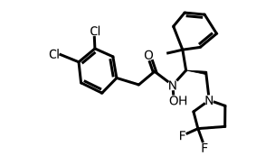 CC1([C@@H](CN2CCC(F)(F)C2)N(O)C(=O)Cc2ccc(Cl)c(Cl)c2)C=CC=CC1